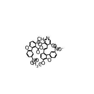 COc1ccc2oc3ccc([N+](=O)[O-])cc3c2c1C(=O)OC(=Cc1c(Cl)cncc1Cl)c1ccc(OC)c2oc3ccc([N+](=O)[O-])cc3c12